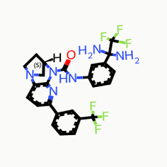 NC(N)(c1cccc(NC(=O)N2c3nc(-c4cccc(C(F)(F)F)c4)ccc3N3CC[C@H]2C3)c1)C(F)(F)F